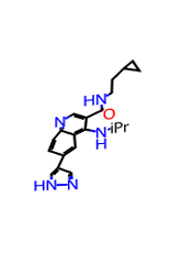 CC(C)Nc1c(C(=O)NCCC2CC2)cnc2ccc(-c3cn[nH]c3)cc12